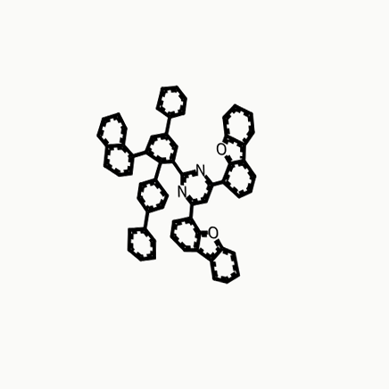 c1ccc(-c2ccc(-c3c(-c4nc(-c5cccc6c5oc5ccccc56)cc(-c5cccc6c5oc5ccccc56)n4)cc(-c4ccccc4)cc3-c3cccc4ccccc34)cc2)cc1